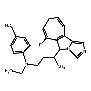 CCN(CCC(C)C1C2=C(C=CCC=C2F)c2cncn21)c1ccc(C)cc1